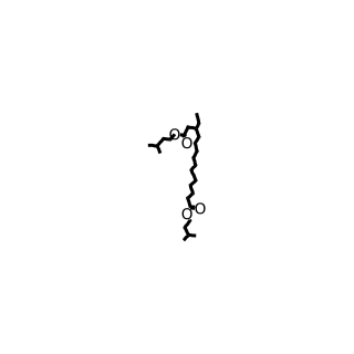 CCC(CCCCCCCCCCC(=O)OCCC(C)C)CC(=O)OCCC(C)C